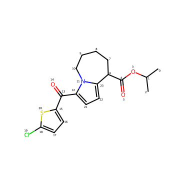 CC(C)OC(=O)C1CCCCn2c(C(=O)c3ccc(Cl)s3)ccc21